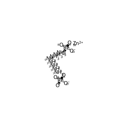 N.N.N.N.N.N.N.N.[O]=[Re](=[O])(=[O])[O-].[O]=[Re](=[O])(=[O])[O-].[Zn+2]